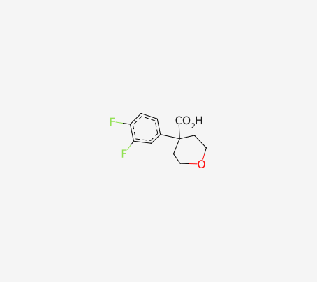 O=C(O)C1(c2ccc(F)c(F)c2)CCOCC1